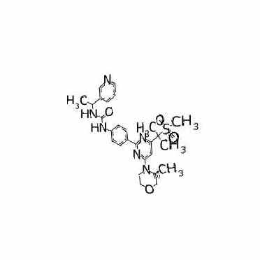 CC(NC(=O)Nc1ccc(-c2nc(N3CCOC[C@@H]3C)cc(C(C)(C)S(C)(=O)=O)n2)cc1)c1cccnc1